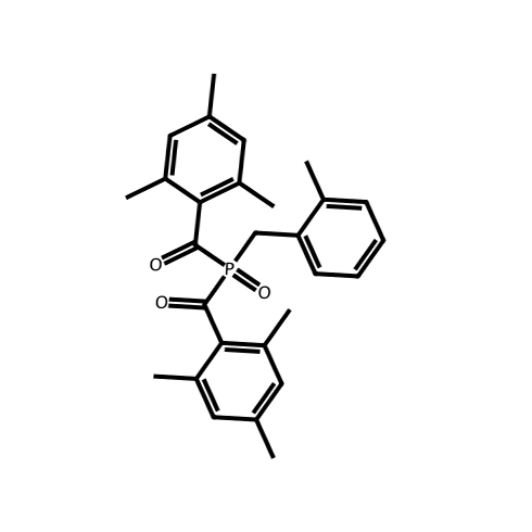 Cc1cc(C)c(C(=O)P(=O)(Cc2ccccc2C)C(=O)c2c(C)cc(C)cc2C)c(C)c1